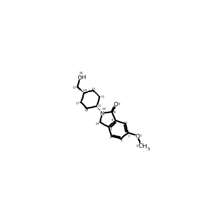 COc1ccc2c(c1)C(=O)N([C@H]1CC[C@H](CO)CC1)C2